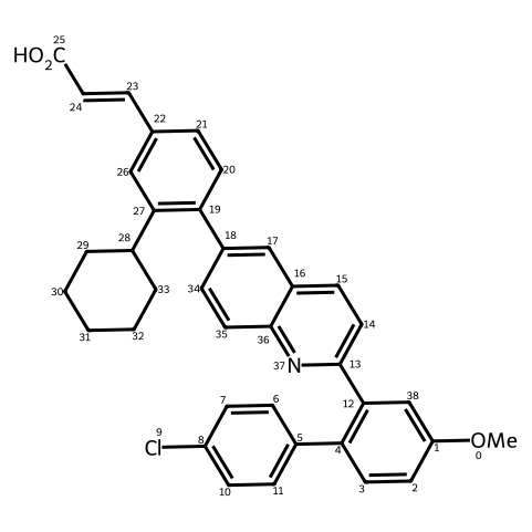 COc1ccc(-c2ccc(Cl)cc2)c(-c2ccc3cc(-c4ccc(/C=C/C(=O)O)cc4C4CCCCC4)ccc3n2)c1